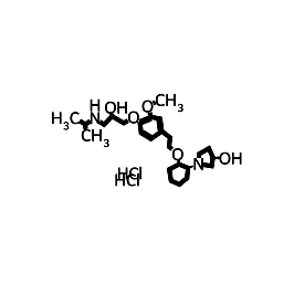 COc1cc(CCO[C@@H]2CCCC[C@H]2N2CC[C@@H](O)C2)ccc1OCC(O)CNC(C)C.Cl.Cl